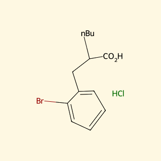 CCCCC(Cc1ccccc1Br)C(=O)O.Cl